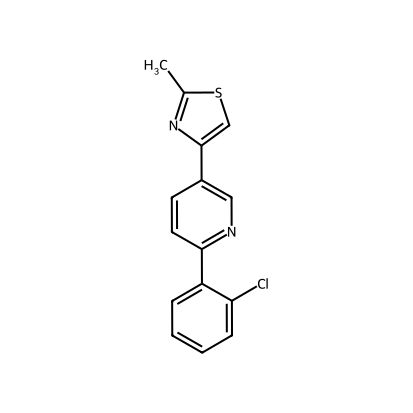 Cc1nc(-c2ccc(-c3ccccc3Cl)nc2)cs1